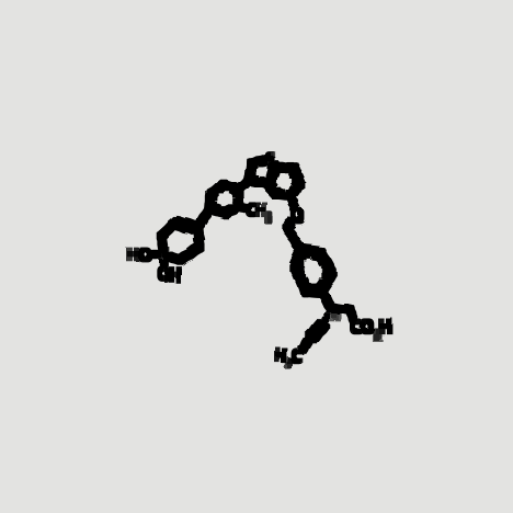 CC#C[C@@H](CC(=O)O)c1ccc(COc2ccc3scc(-c4ccc(C5=CCS(O)(O)CC5)cc4C)c3c2)cc1